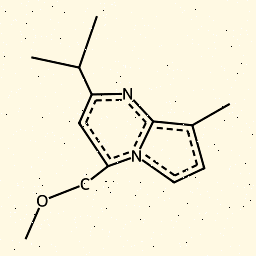 COCc1cc(C(C)C)nc2c(C)ccn12